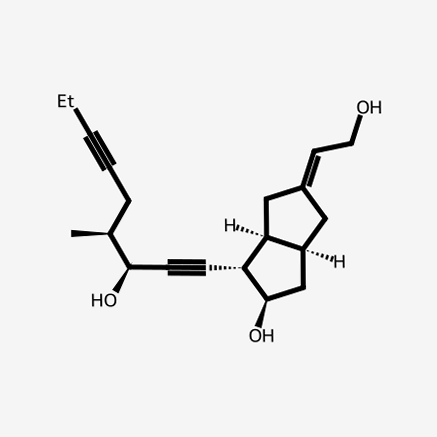 CCC#CC[C@H](C)[C@H](O)C#C[C@@H]1[C@H]2C/C(=C/CO)C[C@H]2C[C@H]1O